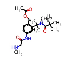 CNCC(=O)Nc1ccc(COC(C)=O)c(C(C)(C)N(C)C(=O)C(C)(C)C)c1